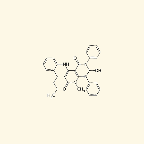 CCCCc1ccccc1Nc1cc(=O)n(C)c2c1C(=O)N(c1ccccc1)C(O)N2c1ccccc1